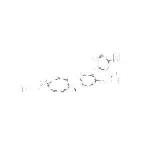 Nc1csc(-c2ccc(Oc3ccc(S(=O)(=O)O)cc3)cc2S(=O)(=O)O)c1N